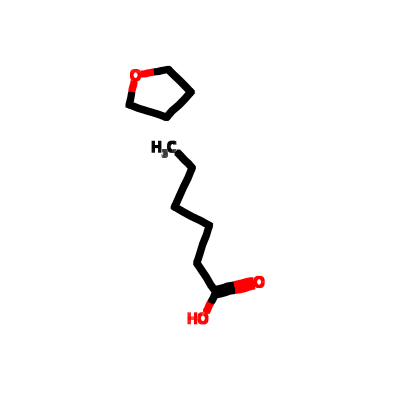 C1CCOC1.CCCCCC(=O)O